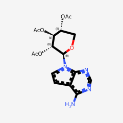 CC(=O)O[C@@H]1[C@@H](OC(C)=O)[C@H](OC(C)=O)CO[C@H]1n1ccc2c(N)ncnc21